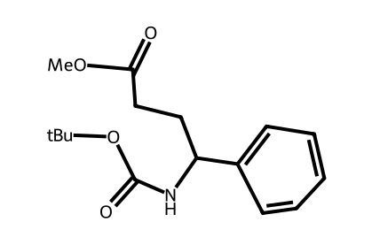 COC(=O)CCC(NC(=O)OC(C)(C)C)c1ccccc1